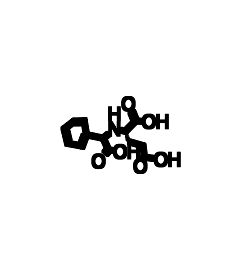 O=C(O)CC[C@H](NC(C(=O)O)c1ccccc1)C(=O)O